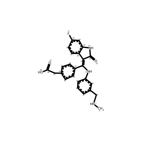 CNCc1cccc(N/C(=C2\C(=O)Nc3cc(F)ccc32)c2ccc(CC(=O)O)cc2)c1